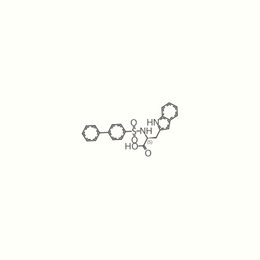 O=C(O)[C@H](Cc1cc2ccccc2[nH]1)NS(=O)(=O)c1ccc(-c2ccccc2)cc1